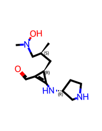 C[C@@H](C[C@@H]1C(C=O)=C1N[C@@H]1CCNC1)CN(C)O